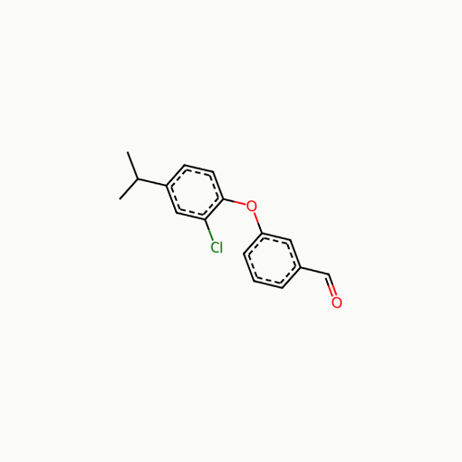 CC(C)c1ccc(Oc2cccc(C=O)c2)c(Cl)c1